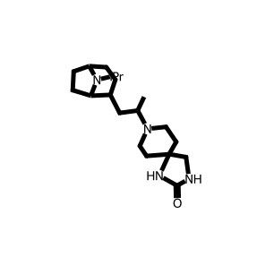 CC(CC1CCC2CCC1N2C(C)C)N1CCC2(CC1)CNC(=O)N2